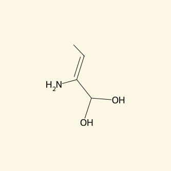 CC=C(N)C(O)O